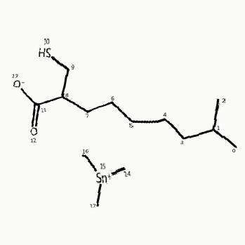 CC(C)CCCCCC(CS)C(=O)[O-].[CH3][Sn+]([CH3])[CH3]